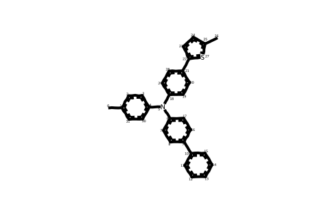 Cc1ccc(N(c2ccc(-c3ccccc3)cc2)c2ccc(-c3ccc(C)s3)cc2)cc1